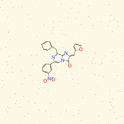 O=C1/C(=C/c2ccco2)N=C2C(Cc3ccccc3)=NC(c3cccc([N+](=O)[O-])c3)=CN12